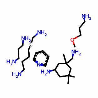 CC1(C)CC(N)CC(C)(CN)C1.COCCCN.NCCCCCCN.NCCCN.c1ccncc1